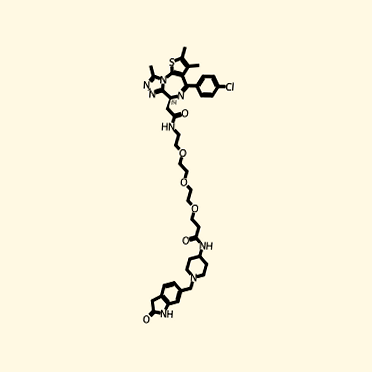 Cc1sc2c(c1C)C(c1ccc(Cl)cc1)=N[C@@H](CC(=O)NCCOCCOCCOCCC(=O)NC1CCN(Cc3ccc4c(c3)NC(=O)C4)CC1)c1nnc(C)n1-2